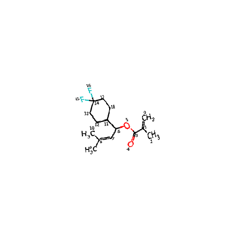 C=C(C)C(=O)OC(C=C(C)C)C1CCC(F)(F)CC1